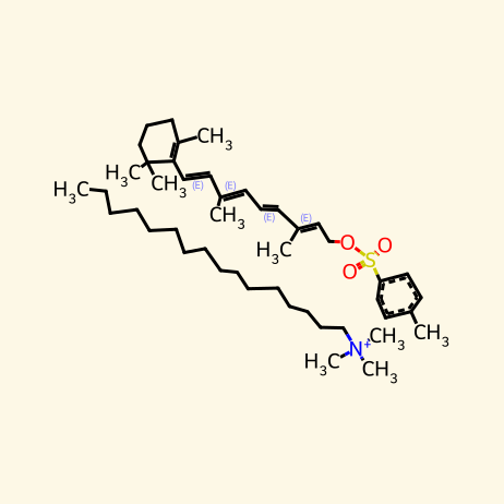 CC1=C(/C=C/C(C)=C/C=C/C(C)=C/COS(=O)(=O)c2ccc(C)cc2)C(C)(C)CCC1.CCCCCCCCCCCCCCCC[N+](C)(C)C